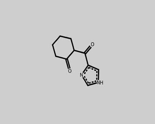 O=C1CCCCC1C(=O)c1c[nH]cn1